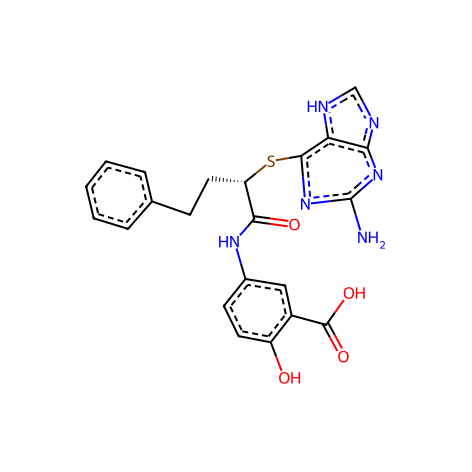 Nc1nc(S[C@@H](CCc2ccccc2)C(=O)Nc2ccc(O)c(C(=O)O)c2)c2[nH]cnc2n1